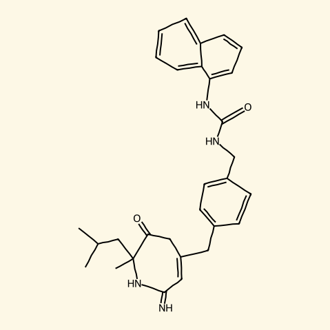 CC(C)CC1(C)NC(=N)C=C(Cc2ccc(CNC(=O)Nc3cccc4ccccc34)cc2)CC1=O